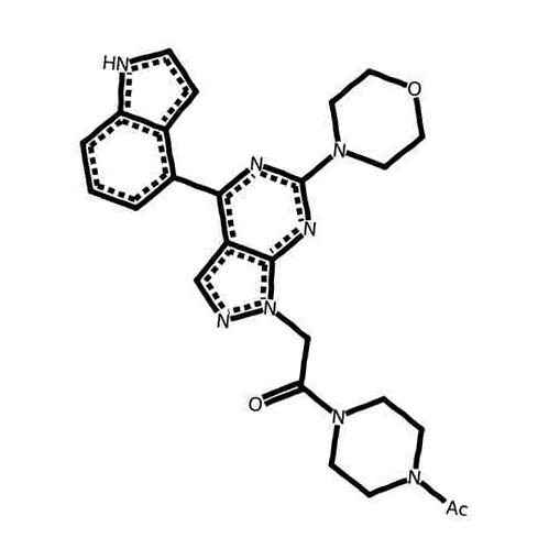 CC(=O)N1CCN(C(=O)Cn2ncc3c(-c4cccc5[nH]ccc45)nc(N4CCOCC4)nc32)CC1